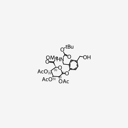 COC(=O)[C@H]1O[C@@H](Oc2ccc(CO)cc2CNC(=O)OC(C)(C)C)[C@H](OC(C)=O)[C@@H](OC(C)=O)[C@@H]1OC(C)=O